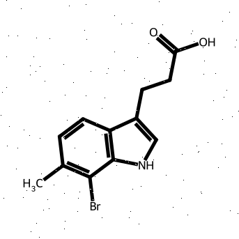 Cc1ccc2c(CCC(=O)O)c[nH]c2c1Br